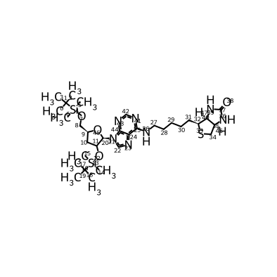 CC(C)(C)[Si](C)(C)OC[C@@H]1CC(O[Si](C)(C)C(C)(C)C)[C@H](n2cnc3c(NCCCCC[C@@H]4SC[C@@H]5NC(=O)N[C@@H]54)ncnc32)O1